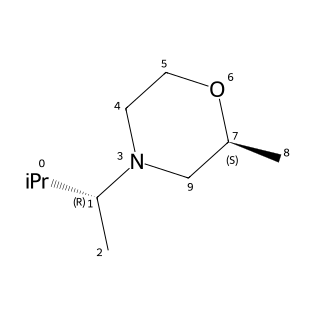 CC(C)[C@@H](C)N1CCO[C@@H](C)C1